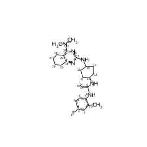 Cc1cc(F)ccc1NC(=S)NC1CCC(Nc2nc3c(c(N(C)C)n2)CCCC3)CC1